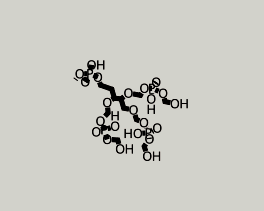 COP(=O)(O)OCCC(OCOP(=O)(O)OCO)C(COCOP(=O)(O)OCO)OCOP(=O)(O)OCO